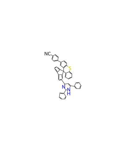 N#Cc1ccc(-c2ccc3c(c2)C2(c4ccccc4S3)c3ccccc3-c3ccc(C4=NC(c5ccccc5)NC(c5ccccc5)=C4)cc32)cc1